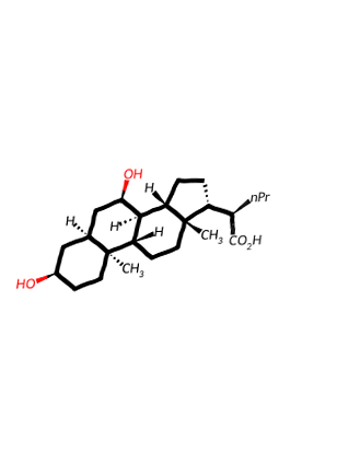 CCC[C@@H](C(=O)O)[C@H]1CC[C@H]2[C@@H]3[C@H](O)C[C@@H]4C[C@H](O)CC[C@]4(C)[C@H]3CC[C@@]12C